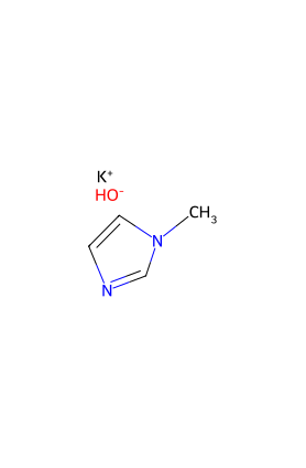 Cn1ccnc1.[K+].[OH-]